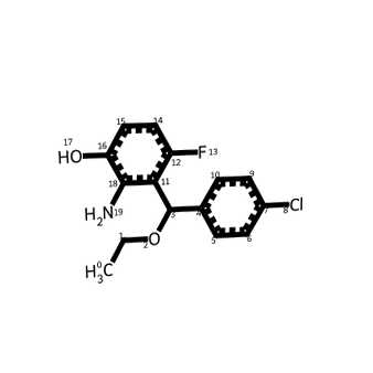 CCOC(c1ccc(Cl)cc1)c1c(F)ccc(O)c1N